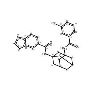 O=C(NC12CC3CC(C1)CC(NC(=O)c1ccc4nccn4c1)(C3)C2)c1cccc(F)c1